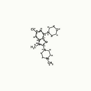 CN1CCN(c2nc3c(N4CCOCC4)nc(Cl)cc3n2C)CC1